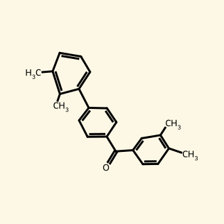 Cc1ccc(C(=O)c2ccc(-c3cccc(C)c3C)cc2)cc1C